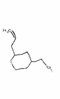 C=CCC1[C]C(CC)CCS1